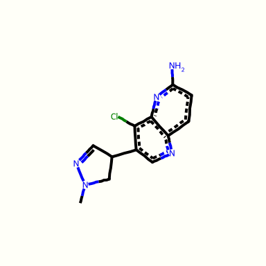 CN1CC(c2cnc3ccc(N)nc3c2Cl)C=N1